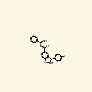 N=C(/N=C(\N)c1ccc2c(c1)C(c1ccc(F)cc1)NN2)c1ccccc1